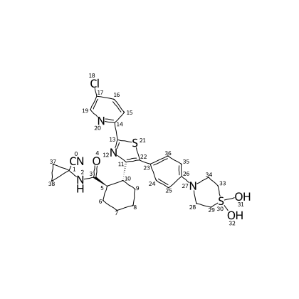 N#CC1(NC(=O)[C@@H]2CCCC[C@H]2c2nc(-c3ccc(Cl)cn3)sc2-c2ccc(N3CCS(O)(O)CC3)cc2)CC1